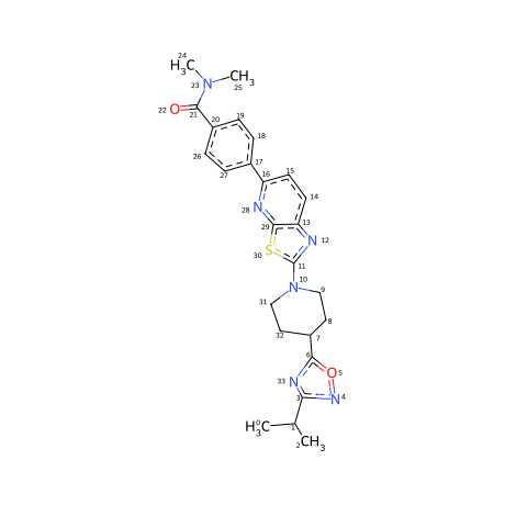 CC(C)c1noc(C2CCN(c3nc4ccc(-c5ccc(C(=O)N(C)C)cc5)nc4s3)CC2)n1